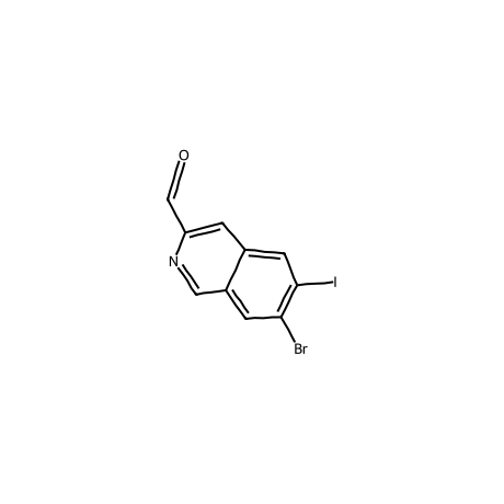 O=Cc1cc2cc(I)c(Br)cc2cn1